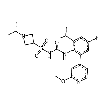 COc1cc(-c2cc(F)cc(C(C)C)c2NC(=O)NS(=O)(=O)C2CN(C(C)C)C2)ccn1